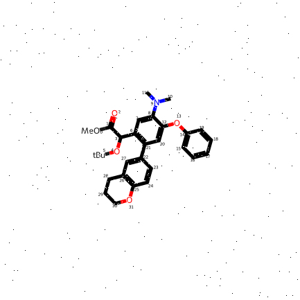 COC(=O)C(OC(C)(C)C)c1cc(N(C)C)c(Oc2ccccc2)cc1-c1ccc2c(c1)CCCO2